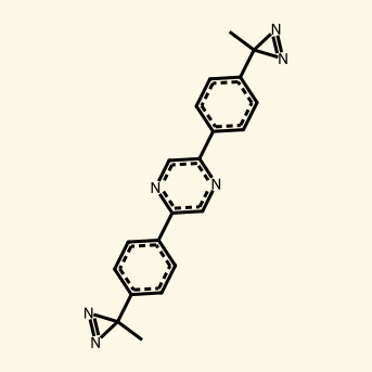 CC1(c2ccc(-c3cnc(-c4ccc(C5(C)N=N5)cc4)cn3)cc2)N=N1